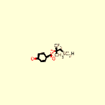 CC(CS(=O)(=O)O)(OC(=O)C1CCC(=O)CC1)C(F)(F)F